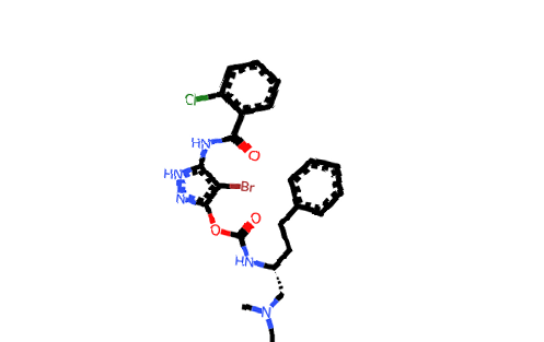 CN(C)C[C@@H](CCc1ccccc1)NC(=O)Oc1n[nH]c(NC(=O)c2ccccc2Cl)c1Br